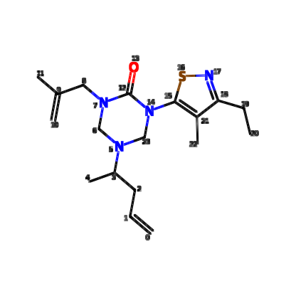 C=CCC(C)N1CN(CC(=C)C)C(=O)N(c2snc(CC)c2C)C1